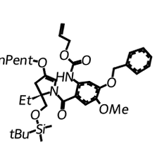 C=CCOC(=O)Nc1cc(OCc2ccccc2)c(OC)cc1C(=O)N1C=C(OCCCCC)C[C@@]1(CC)CO[Si](C)(C)C(C)(C)C